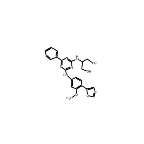 COc1cc(Nc2nc([AsH]C(CO)CO)nc(-c3ccccc3)n2)ccc1-c1cnco1